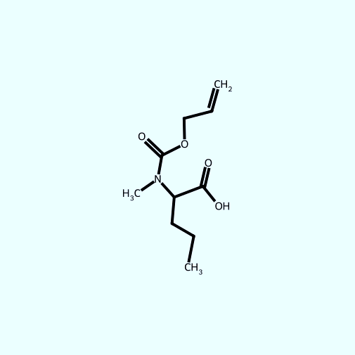 C=CCOC(=O)N(C)C(CCC)C(=O)O